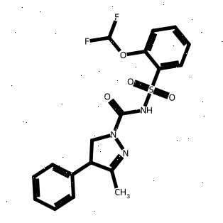 CC1=NN(C(=O)NS(=O)(=O)c2ccccc2OC(F)F)CC1c1ccccc1